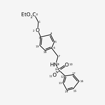 CCOC(=O)COc1ccc(CNS(=O)(=O)c2ccccc2)cc1